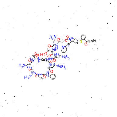 CNC(=O)c1ccccc1Sc1ccc2c(/C=C/c3ccccn3)n(C(=O)OCCC(=O)N[C@@H](CCN)C(=O)N[C@H](C(=O)N[C@@H](CCN)C(=O)N[C@H]3CCNC(=O)[C@H]([C@@H](C)O)NC(=O)[C@H](CCN)NC(=O)[C@H](CCN)NC(=O)[C@H](CC(C)C)NC(=O)[C@@H](Cc4ccccc4)NC(=O)[C@H](CCN)NC3=O)[C@@H](C)O)nc2c1